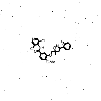 COc1ccc(C(=O)Nc2c(Cl)cncc2Cl)cc1OCC1(C)CC(c2ccccc2F)=NO1